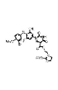 COc1ccc(Oc2c(C)cc(-n3nc(C(=O)OCCN4CCN=C4SC)c(=O)[nH]c3=O)cc2C)cc1Br